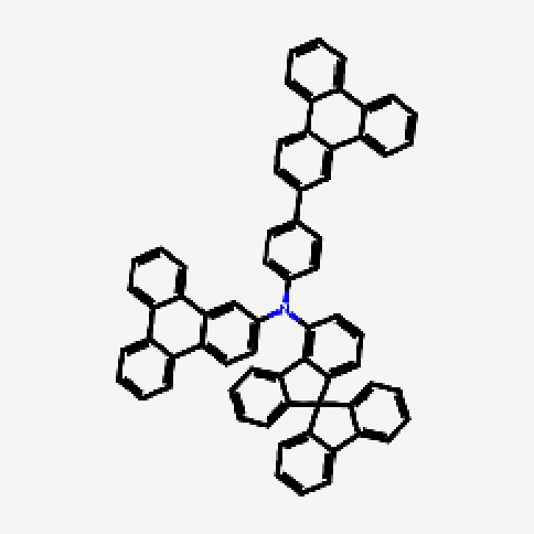 c1ccc2c(c1)-c1ccccc1C21c2ccccc2-c2c(N(c3ccc(-c4ccc5c6ccccc6c6ccccc6c5c4)cc3)c3ccc4c5ccccc5c5ccccc5c4c3)cccc21